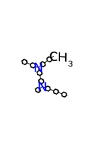 Cc1ccc(-c2ccc(N(c3ccc(-c4ccccc4)cc3)c3ccc(-c4ccc(N(c5ccccc5)c5ccc(-c6ccc(-c7ccccc7)cc6)cc5)cc4)cc3)cc2)cc1